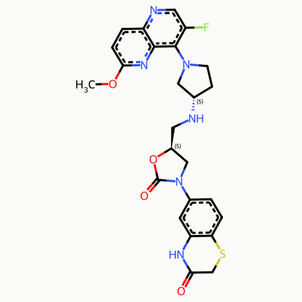 COc1ccc2ncc(F)c(N3CC[C@H](NC[C@H]4CN(c5ccc6c(c5)NC(=O)CS6)C(=O)O4)C3)c2n1